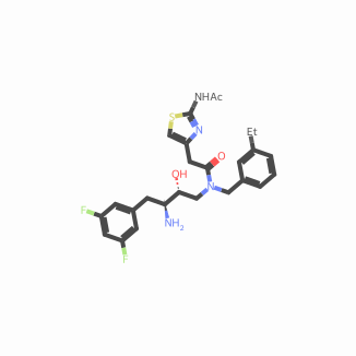 CCc1cccc(CN(C[C@@H](O)[C@@H](N)Cc2cc(F)cc(F)c2)C(=O)Cc2csc(NC(C)=O)n2)c1